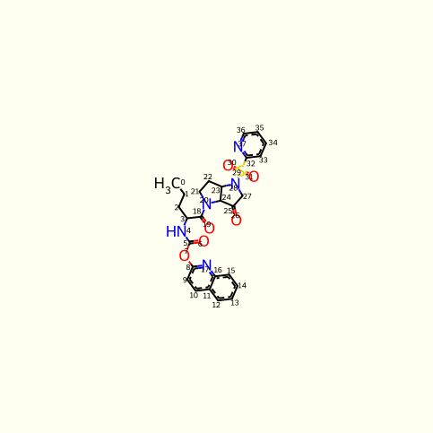 CCCC(NC(=O)Oc1ccc2ccccc2n1)C(=O)N1CCC2C1C(=O)CN2S(=O)(=O)c1ccccn1